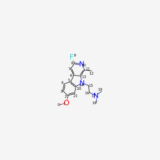 COc1ccc2c3cc(F)nc(C)c3n(CCN(C)C)c2c1